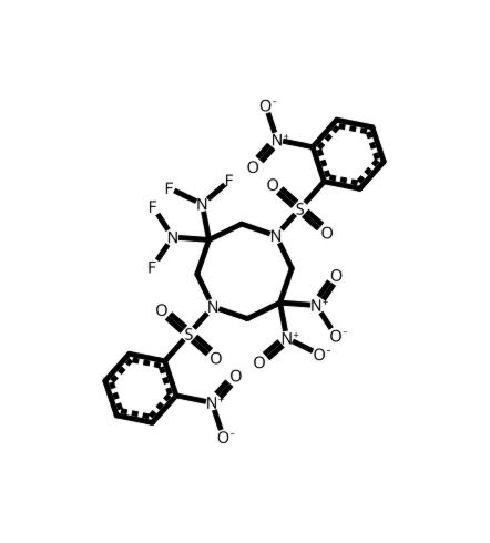 O=[N+]([O-])c1ccccc1S(=O)(=O)N1CC(N(F)F)(N(F)F)CN(S(=O)(=O)c2ccccc2[N+](=O)[O-])CC([N+](=O)[O-])([N+](=O)[O-])C1